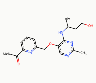 CCCC(CCO)Nc1nc(C)ncc1OCc1cccc(C(=O)NC)n1